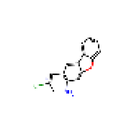 C/C(Cl)=C\c1cc2c(cc1N)oc1ccccc12